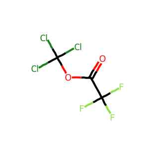 O=C(OC(Cl)(Cl)Cl)C(F)(F)F